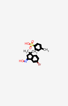 CC1(C)CC(=NO)c2cc(Br)ccc21.Cc1ccc(S(=O)(=O)O)cc1